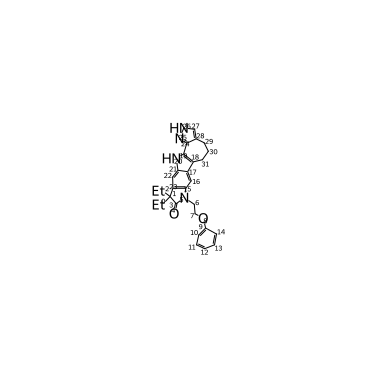 CCC1(CC)C(=O)N(CCOc2ccccc2)c2cc3c4c([nH]c3cc21)-c1n[nH]cc1CCC4